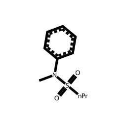 CCCS(=O)(=O)N(C)c1ccccc1